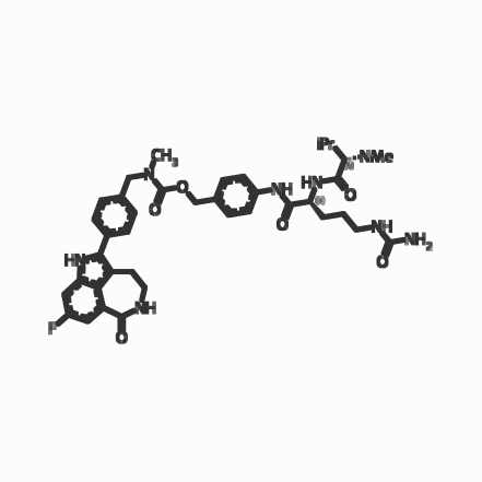 CN[C@H](C(=O)N[C@@H](CCCNC(N)=O)C(=O)Nc1ccc(COC(=O)N(C)Cc2ccc(-c3[nH]c4cc(F)cc5c4c3CCNC5=O)cc2)cc1)C(C)C